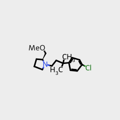 COC[C@@H]1CCCN1CCC(C)(C)c1ccc(Cl)cc1